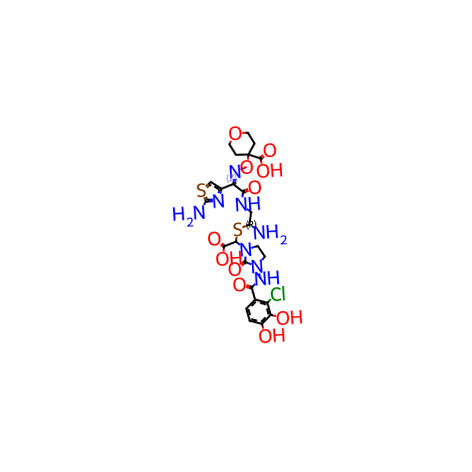 Nc1nc(/C(=N/OC2(C(=O)O)CCOCC2)C(=O)NC[C@H](N)SC(C(=O)O)N2CCN(NC(=O)c3ccc(O)c(O)c3Cl)C2=O)cs1